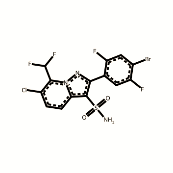 NS(=O)(=O)c1c(-c2cc(F)c(Br)cc2F)nn2c(C(F)F)c(Cl)ccc12